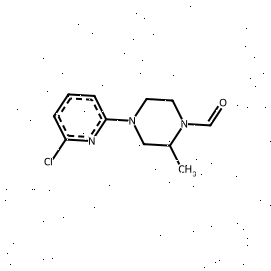 CC1CN(c2cccc(Cl)n2)CCN1C=O